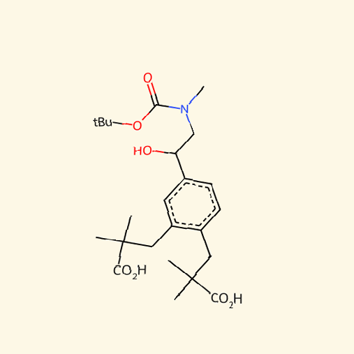 CN(CC(O)c1ccc(CC(C)(C)C(=O)O)c(CC(C)(C)C(=O)O)c1)C(=O)OC(C)(C)C